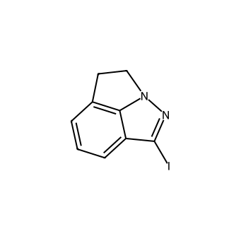 Ic1nn2c3c(cccc13)CC2